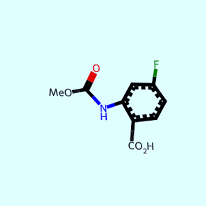 COC(=O)Nc1cc(F)ccc1C(=O)O